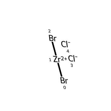 [Br][Zr+2][Br].[Cl-].[Cl-]